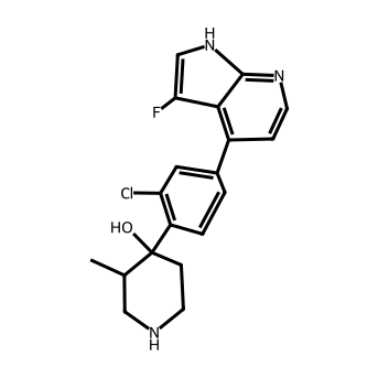 CC1CNCCC1(O)c1ccc(-c2ccnc3[nH]cc(F)c23)cc1Cl